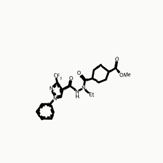 CCN(NC(=O)c1cn(-c2ccccc2)nc1C(F)(F)F)C(=O)C1CCC(C(=O)OC)CC1